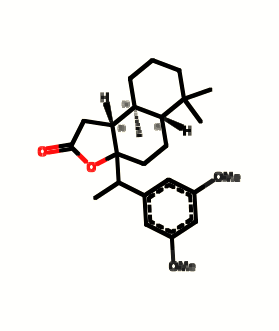 COc1cc(OC)cc(C(C)C23CC[C@H]4C(C)(C)CCC[C@]4(C)[C@H]2CC(=O)O3)c1